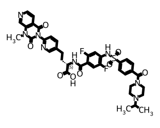 CC(C)N1CCN(C(=O)c2ccc(S(=O)(=O)Nc3cc(F)c(C(=O)N[C@@H](CCc4ccc(-n5c(=O)c6ccncc6n(C)c5=O)nc4)C(=O)O)cc3F)cc2)CC1